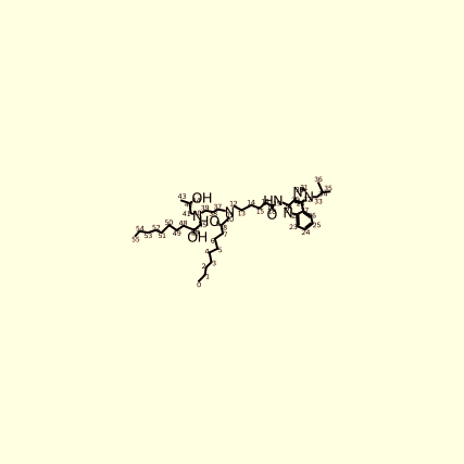 CCCCCCCCC(O)CN(CCCCCC(=O)Nc1nc2ccccc2c2c1ncn2CC(C)C)CCCN(CC(C)O)CC(O)CCCCCCCC